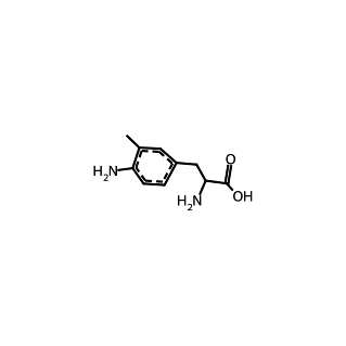 Cc1cc(CC(N)C(=O)O)ccc1N